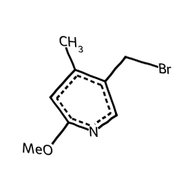 COc1cc(C)c(CBr)cn1